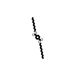 CCCCCCCCCCCOC(=O)C1CCC(C(=O)OCCCCCCCCCC)CC1